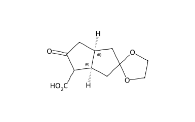 O=C(O)C1C(=O)C[C@H]2CC3(C[C@@H]12)OCCO3